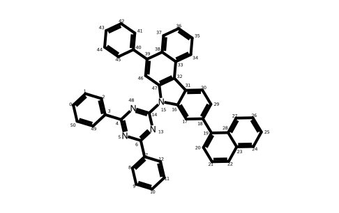 c1ccc(-c2nc(-c3ccccc3)nc(-n3c4cc(-c5cccc6ccccc56)ccc4c4c5ccccc5c(-c5ccccc5)cc43)n2)cc1